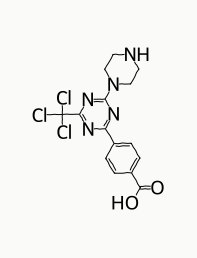 O=C(O)c1ccc(-c2nc(N3CCNCC3)nc(C(Cl)(Cl)Cl)n2)cc1